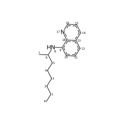 CCCCCCC(C)Nc1cccc2cccnc12